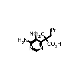 CC(C)CC(C)(C(=O)O)c1ncnc(N)c1[N+](=O)[O-]